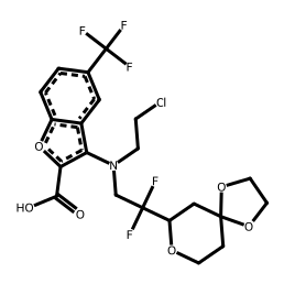 O=C(O)c1oc2ccc(C(F)(F)F)cc2c1N(CCCl)CC(F)(F)C1CC2(CCO1)OCCO2